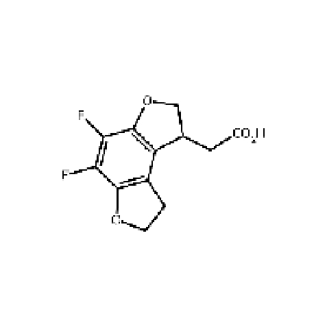 O=C(O)CC1COc2c(F)c(F)c3c(c21)CCO3